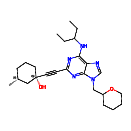 CCC(CC)Nc1nc(C#C[C@]2(O)CCC[C@@H](C)C2)nc2c1ncn2CC1CCCCO1